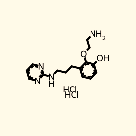 Cl.Cl.NCCOc1c(O)cccc1CCCNc1ncccn1